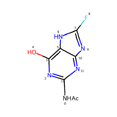 CC(=O)Nc1nc(O)c2[nH]c(F)nc2n1